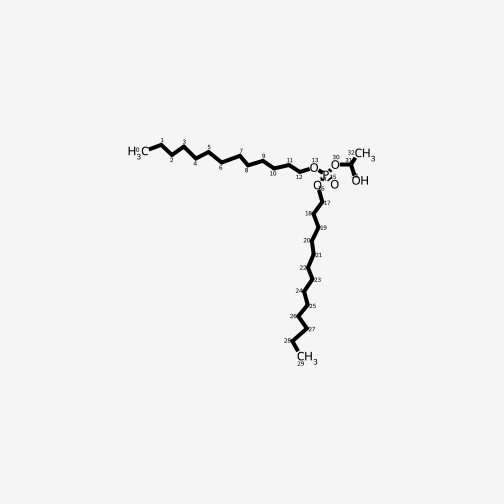 CCCCCCCCCCCCCOP(=O)(OCCCCCCCCCCCCC)OC(C)O